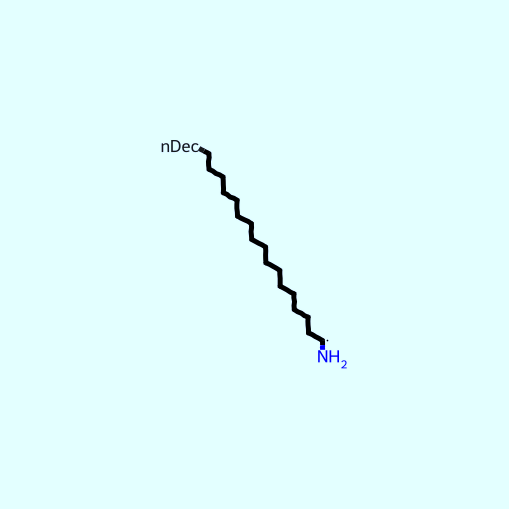 CCCCCCCCCCCCCCCCCCCCCCCCCC[CH]N